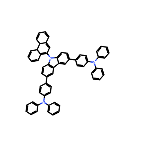 C1=CC2=CC(n3c4ccc(-c5ccc(N(c6ccccc6)c6ccccc6)cc5)cc4c4cc(-c5ccc(N(c6ccccc6)c6ccccc6)cc5)ccc43)=C3C=CC=CC3C2C=C1